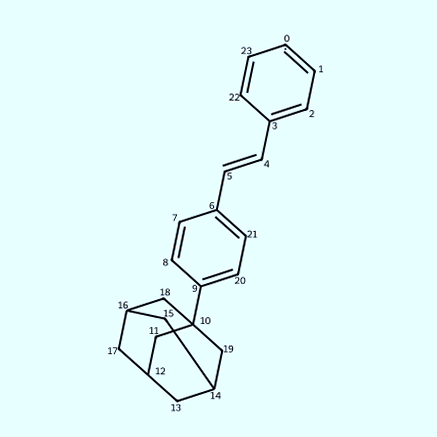 [c]1ccc(C=Cc2ccc(C34CC5CC(CC(C5)C3)C4)cc2)cc1